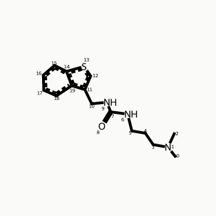 CN(C)CCCNC(=O)NCc1csc2ccccc12